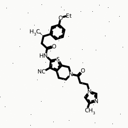 CCOc1cccc([C@@H](C)CC(=O)Nc2sc3c(c2C#N)CCN(C(=O)CCn2cnc(C)c2)C3)c1